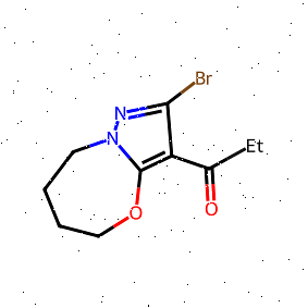 CCC(=O)c1c(Br)nn2c1OCCCC2